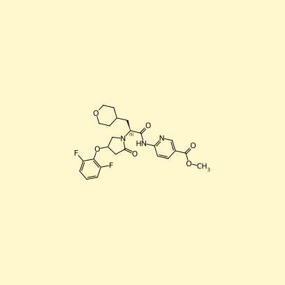 COC(=O)c1ccc(NC(=O)[C@H](CC2CCOCC2)N2CC(Oc3c(F)cccc3F)CC2=O)nc1